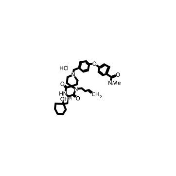 C=CCCN1C(=O)[C@@H](CC2(O)CCCCC2)NC(=O)C12CCN(Cc1ccc(Oc3ccc(C(=O)NC)cc3)cc1)CC2.Cl